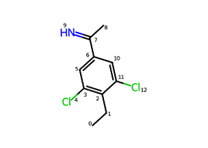 CCc1c(Cl)cc(C(C)=N)cc1Cl